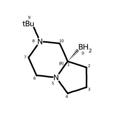 B[C@]12CCCN1CCN(C(C)(C)C)C2